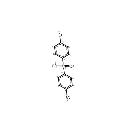 CCc1ccc(P(=O)(O)c2ccc(CC)cc2)cc1